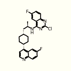 C[C@H](C[C@H]1CC[C@@H](c2ccnc3ccc(F)cc32)CC1)Nc1nc(Cl)nc2ccc(F)cc12